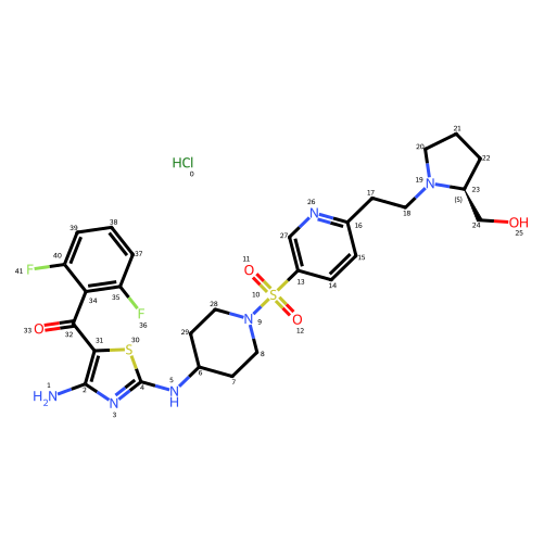 Cl.Nc1nc(NC2CCN(S(=O)(=O)c3ccc(CCN4CCC[C@H]4CO)nc3)CC2)sc1C(=O)c1c(F)cccc1F